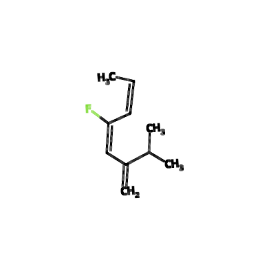 C=C(/C=C(F)\C=C/C)C(C)C